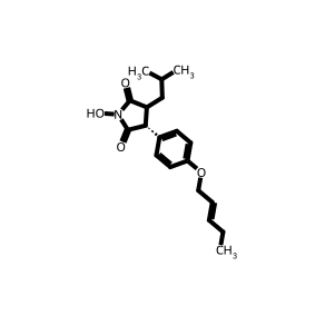 CCC=CCOc1ccc([C@@H]2C(=O)N(O)C(=O)C2CC(C)C)cc1